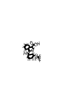 O=C(O)c1cnc(Nc2cccc(OC(F)(F)F)c2)c2c1CCCC2